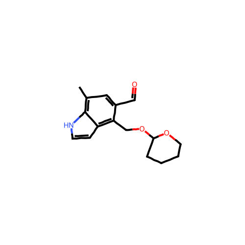 Cc1cc(C=O)c(COC2CCCCO2)c2cc[nH]c12